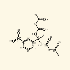 CC(=O)CC(=O)OC(C)(OC(=O)CC(C)=O)c1cccc([N+](=O)[O-])c1